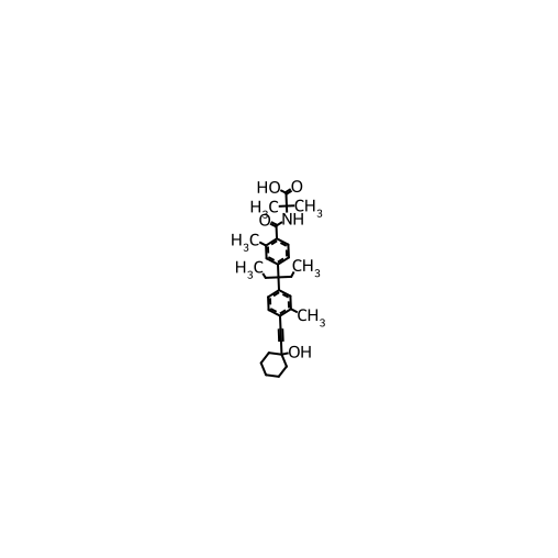 CCC(CC)(c1ccc(C#CC2(O)CCCCC2)c(C)c1)c1ccc(C(=O)NC(C)(C)C(=O)O)c(C)c1